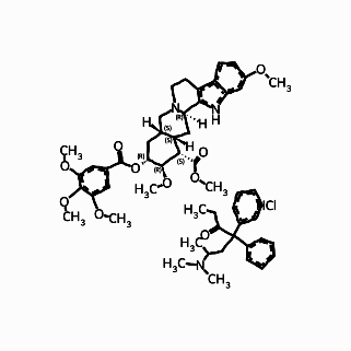 CCC(=O)C(CC(C)N(C)C)(c1ccccc1)c1ccccc1.COC(=O)[C@H]1[C@H]2C[C@@H]3c4[nH]c5cc(OC)ccc5c4CCN3C[C@H]2C[C@@H](OC(=O)c2cc(OC)c(OC)c(OC)c2)[C@@H]1OC.Cl